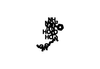 CCOC(C)=NOCCCCN(C)C[C@H]1O[C@@H](n2c(-c3ccccc3)nc3c(N)ncnc32)C(O)C1O